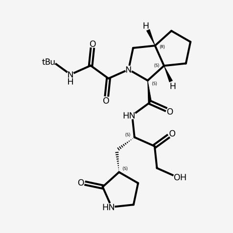 CC(C)(C)NC(=O)C(=O)N1C[C@@H]2CCC[C@@H]2[C@H]1C(=O)N[C@@H](C[C@@H]1CCNC1=O)C(=O)CO